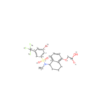 CN(C1CCCc2c(OCC(=O)O)cccc21)S(=O)(=O)c1cc(Br)cc(C(F)(F)F)c1